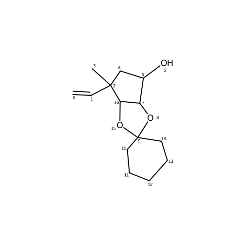 C=CC1(C)CC(O)C2OC3(CCCCC3)OC21